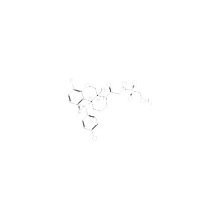 CCS(=O)(=O)NCC(=O)N1CCC[C@]2([S+]([O-])c3ccc(Cl)cc3)c3c(F)ccc(F)c3OC[C@H]12